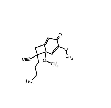 COC1=CC2(OC)C(=CC1=O)CC2(C#N)CCCO